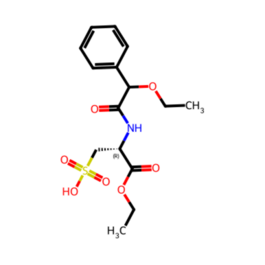 CCOC(=O)[C@H](CS(=O)(=O)O)NC(=O)C(OCC)c1ccccc1